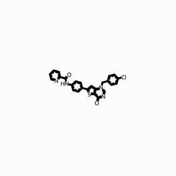 O=C(Nc1ccc(-c2cc3c(s2)c(=O)ncn3Cc2ccc(Cl)cc2)cc1)c1ccccn1